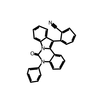 N#Cc1ccccc1-c1c2ccccc2n2c(=O)n(-c3ccccc3)c3ccccc3c12